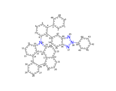 c1ccc(-c2cccc(-n3c4cccc5c4c4c6c(cccc6ccc43)-c3ccccc3-5)c2-c2ccc3nn(-c4ccccc4)nc3c2)cc1